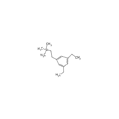 CCc1cc(CC)cc(CC[Si](C)(C)C)c1